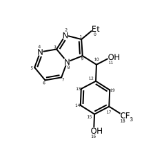 CCc1nc2ncccn2c1C(O)c1ccc(O)c(C(F)(F)F)c1